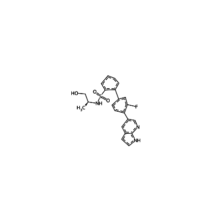 C[C@@H](CO)NS(=O)(=O)c1ccccc1-c1ccc(-c2cnc3[nH]ccc3c2)c(F)c1